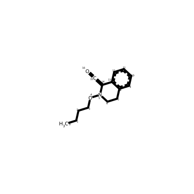 CCCCON1CCc2ccccc2C1=C=O